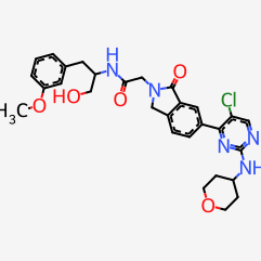 COc1cccc(CC(CO)NC(=O)CN2Cc3ccc(-c4nc(NC5CCOCC5)ncc4Cl)cc3C2=O)c1